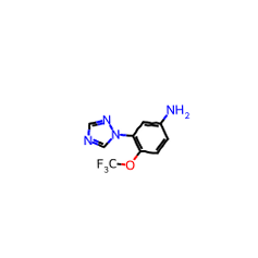 Nc1ccc(OC(F)(F)F)c(-n2cncn2)c1